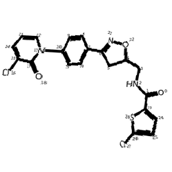 O=C(NCC1CC(c2ccc(-n3cccc(Cl)c3=O)cc2)=NO1)c1ccc(Cl)s1